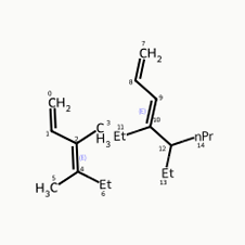 C=C/C(C)=C(\C)CC.C=C/C=C(\CC)C(CC)CCC